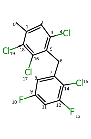 Cc1cc(Cl)c(Cc2cc(F)cc(F)c2Cl)c(Cl)c1Cl